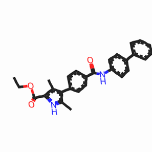 CCOC(=O)c1[nH]c(C)c(-c2ccc(C(=O)Nc3ccc(-c4ccccc4)cc3)cc2)c1C